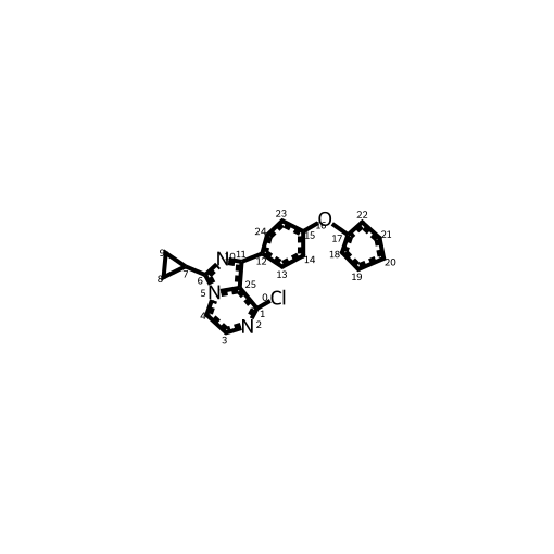 Clc1nccn2c(C3CC3)nc(-c3ccc(Oc4ccccc4)cc3)c12